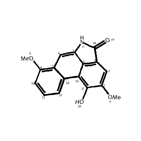 COc1cc2c3c(cc4c(OC)cccc4c3c1O)NC2=O